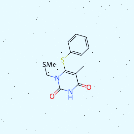 CSCn1c(Sc2ccccc2)c(C)c(=O)[nH]c1=O